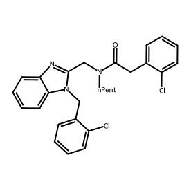 CCCCCN(Cc1nc2ccccc2n1Cc1ccccc1Cl)C(=O)Cc1ccccc1Cl